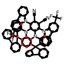 N#Cc1c(C#N)c(-n2c3ccccc3c3ccc(C(F)(F)F)cc32)c(N2c3ccccc3C3(c4ccccc4-c4ccccc43)c3ccccc32)c(N2c3ccccc3C3(c4ccccc4-c4ccccc43)c3ccccc32)c1-n1c2ccccc2c2ccc(C(F)(F)F)cc21